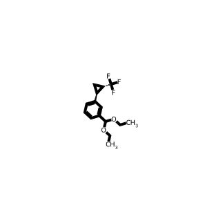 CCOC(OCC)c1cccc([C@H]2C[C@@H]2C(F)(F)F)c1